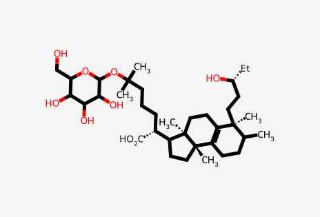 CC[C@@H](O)CC[C@]1(C)C2=C(CCC1C)[C@]1(C)CCC([C@@H](CCCC(C)(C)OC3OC(CO)C(O)C(O)C3O)C(=O)O)[C@@]1(C)CC2